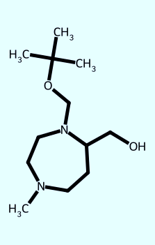 CN1CCC(CO)N(COC(C)(C)C)CC1